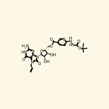 C=CCn1c(=O)n([C@@H]2O[C@H](COC(=O)c3ccc(NNC(=O)OC(C)(C)C)nc3)[C@@H](O)[C@H]2O)c2nc(N)[nH]c(=O)c21